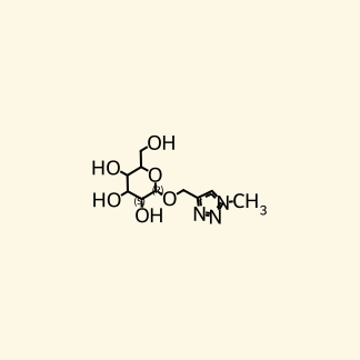 Cn1cc(CO[C@@H]2OC(CO)C(O)C(O)[C@@H]2O)nn1